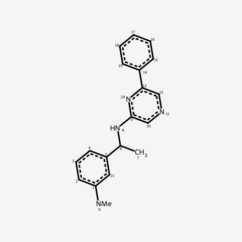 CNc1cccc(C(C)Nc2cncc(-c3ccccc3)n2)c1